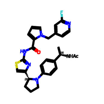 CC(=O)N[C@H](C)c1ccc(N2CCC[C@@H]2c2csc(NC(=O)c3cccn3Cc3ccnc(F)c3)n2)cc1